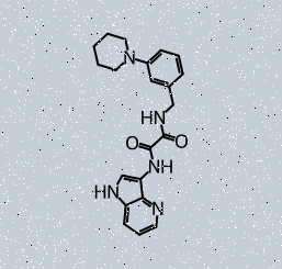 O=C(NCc1cccc(N2CCCCC2)c1)C(=O)Nc1c[nH]c2cccnc12